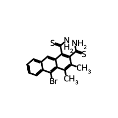 Cc1c(C(N)=S)c(C(N)=S)c2cc3ccccc3c(Br)c2c1C